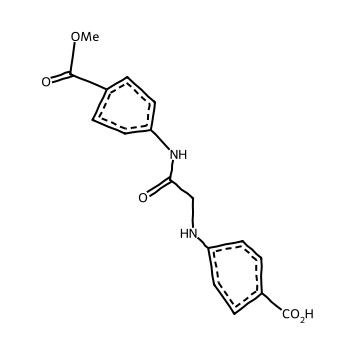 COC(=O)c1ccc(NC(=O)CNc2ccc(C(=O)O)cc2)cc1